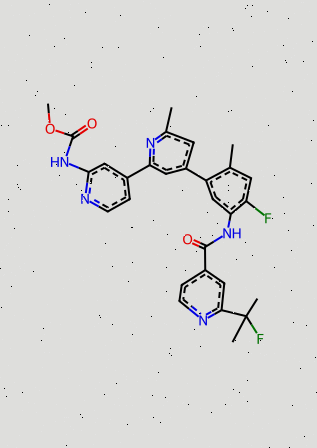 COC(=O)Nc1cc(-c2cc(-c3cc(NC(=O)c4ccnc(C(C)(C)F)c4)c(F)cc3C)cc(C)n2)ccn1